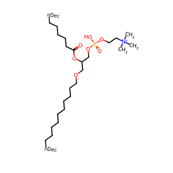 CCCCCCCCCCCCCCCCCCCCOCC(COP(=O)(O)OCC[N+](C)(C)C)OC(=O)CCCCCCCCCCCCCCC